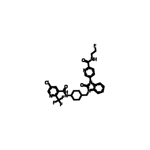 O=C(NCCF)c1ccc(-n2c(=O)n(CC3CCC(NC(=O)c4cc(Cl)cnc4C(F)(F)F)CC3)c3ccccc32)cn1